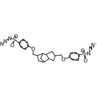 [N-]=[N+]=NS(=O)(=O)c1ccc(OCC2CC3C4CC(COc5ccc(S(=O)(=O)N=[N+]=[N-])cc5)C(C4)C3C2)cc1